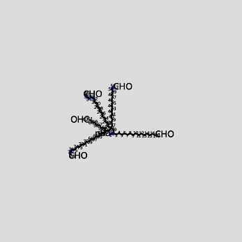 CCCC/C=C(/CCCCCCCCCCCCCCCC=O)CC(CCCCCCCCCCC/C=C\C=C/C=O)(CCCCCCCCCCCCC/C=C\C=O)CC(CCCCCCCC=O)CCCCCCCCCCCCC/C=C\C=O